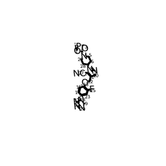 CC(C)OC(=O)N1CCC(n2ncc(COc3ccc(-n4cnnn4)cc3F)c2C#N)CC1